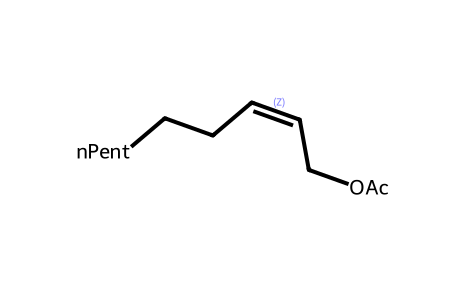 CCCCCCC/C=C\COC(C)=O